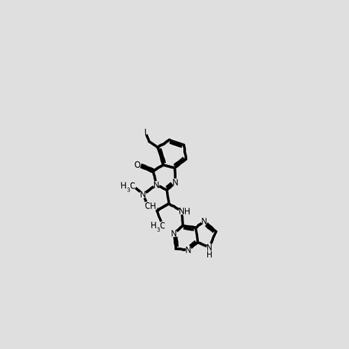 CCC(Nc1ncnc2[nH]cnc12)c1nc2cccc(CI)c2c(=O)n1N(C)C